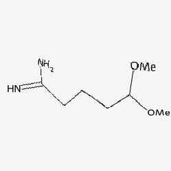 COC(CCCC(=N)N)OC